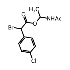 CC(=O)NC(C)OC(=O)C(Br)c1ccc(Cl)cc1